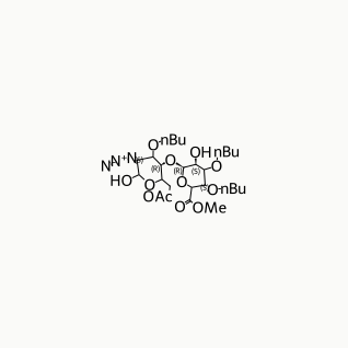 CCCCOC1[C@H](N=[N+]=[N-])C(O)OC(COC(C)=O)[C@@H]1O[C@@H]1OC(C(=O)OC)[C@@H](OCCCC)C(OCCCC)[C@@H]1O